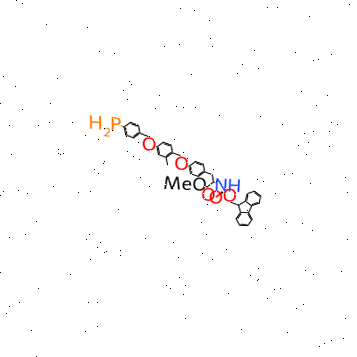 COC(=O)C(Cc1ccc(OCc2ccc(OCc3ccc(P)cc3)cc2C)cc1)NC(=O)OCC1c2ccccc2-c2ccccc21